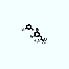 N[C@@H](Cc1cc(Br)c(OCc2cccc(Br)c2)c(Br)c1)C(=O)O